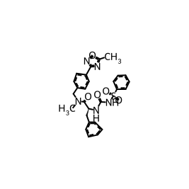 Cc1nc(-c2ccc(CN(C)C(=O)[C@H](Cc3ccccc3)NC(=O)NS(=O)(=O)c3ccccc3)cc2)no1